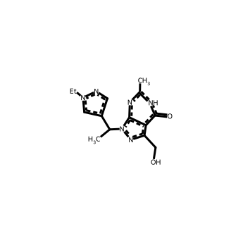 CCn1cc(C(C)n2nc(CO)c3c(=O)[nH]c(C)nc32)cn1